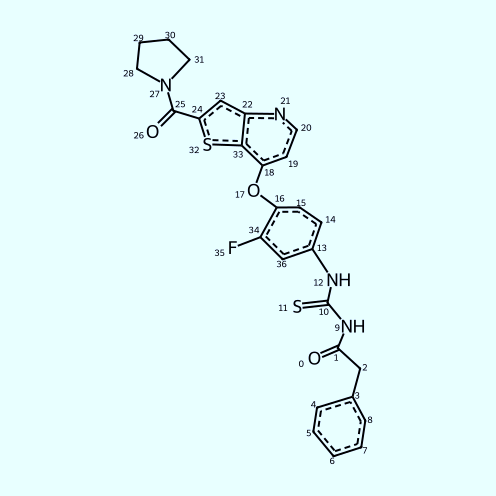 O=C(Cc1ccccc1)NC(=S)Nc1ccc(Oc2ccnc3cc(C(=O)N4CCCC4)sc23)c(F)c1